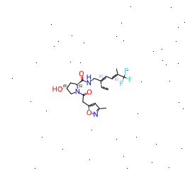 C=C/C(=C\C=C(/C)C(F)(F)F)CNC(=O)[C@@H]1C[C@@H](O)CN1C(=O)Cc1cc(C)no1